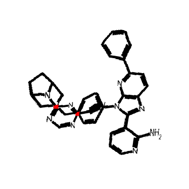 N#Cc1ncnc(N2C3CCC2CN(Cc2ccc(-n4c(-c5cccnc5N)nc5ccc(-c6ccccc6)nc54)cc2)C3)n1